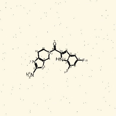 Nc1nc2c(s1)CN(C(=O)c1cc3cc(F)cc(F)c3[nH]1)CC2